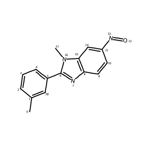 Cc1cccc(-c2nc3ccc(N=O)cc3n2C)c1